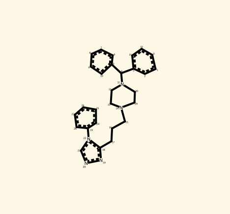 c1ccc(C(c2ccccc2)N2CCN(CCCc3nncn3-c3ccccc3)CC2)cc1